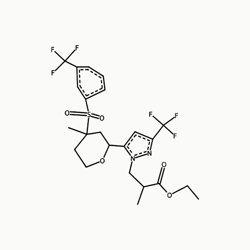 CCOC(=O)C(C)Cn1nc(C(F)(F)F)cc1C1CC(C)(S(=O)(=O)c2cccc(C(F)(F)F)c2)CCO1